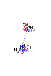 CCOC(=O)C(C)NC(=O)CCCCCCCCCCc1nc2c(c(=O)[nH]c(=O)n2C)n1C